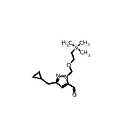 C[Si](C)(C)CCOCn1nc(CC2CC2)cc1C=O